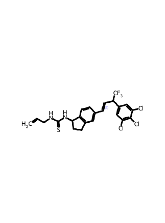 C=CCNC(=S)NC1CCc2cc(/C=C/C(c3cc(Cl)c(Cl)c(Cl)c3)C(F)(F)F)ccc21